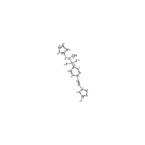 Cn1ccc(C#Cc2ccc(C(F)(F)C(O)Cn3cnnn3)nc2)c1